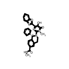 CNC(=O)c1ccc2c(c1)CCN(c1nc(-c3nc4ccccc4o3)c(O)c(=O)n1C)[C@H]2c1ccccc1